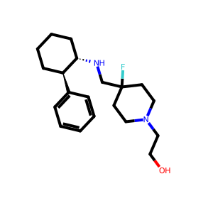 OCCN1CCC(F)(CN[C@H]2CCCC[C@@H]2c2ccccc2)CC1